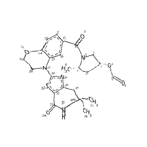 C[C@H]1C[C@@H](OC=O)CN1C(=O)c1ccc2c(c1)N(c1nc3c(s1)C(=O)NC(C)(C)C3)CCO2